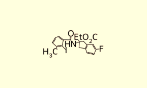 CCOC(=O)C1(NC(=O)c2cccc(C)c2I)Cc2ccc(F)cc2C1